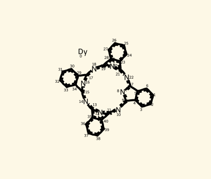 [Dy].c1ccc2c(c1)-c1nc-2nc2[nH]c(nc3nc(nc4[nH]c(n1)c1ccccc41)-c1ccccc1-3)c1ccccc21